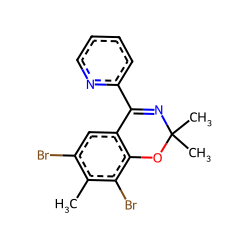 Cc1c(Br)cc2c(c1Br)OC(C)(C)N=C2c1ccccn1